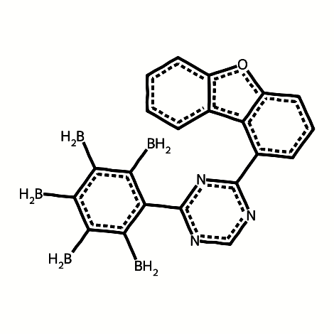 Bc1c(B)c(B)c(-c2ncnc(-c3cccc4oc5ccccc5c34)n2)c(B)c1B